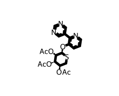 CC(=O)O[C@@H]1[C@@H](OC(C)=O)[C@@H](Oc2cccnc2-c2cncnc2)SC[C@H]1OC(C)=O